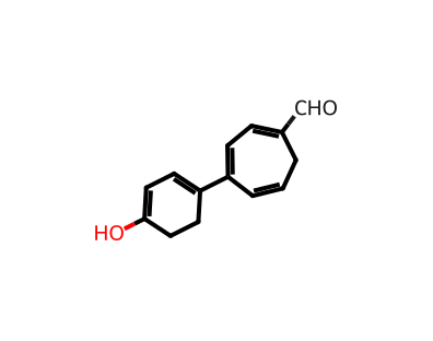 O=CC1=CC=C(C2=CC=C(O)CC2)C=CC1